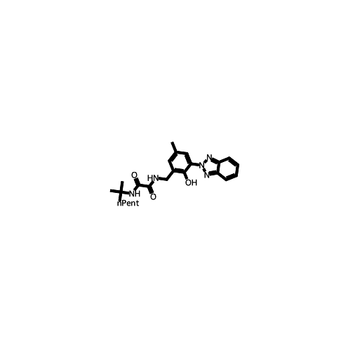 CCCCCC(C)(C)NC(=O)C(=O)NCc1cc(C)cc(-n2nc3ccccc3n2)c1O